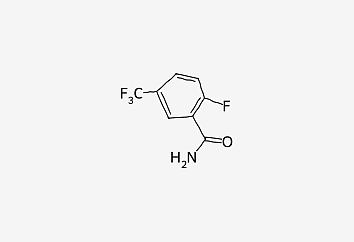 NC(=O)c1cc(C(F)(F)F)ccc1F